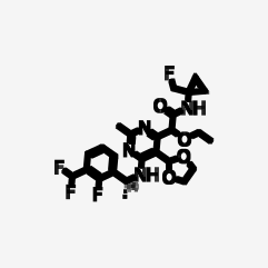 CCOC(C(=O)NC1(CF)CC1)c1nc(C)nc(N[C@H](C)c2cccc(C(F)F)c2F)c1C1OCCO1